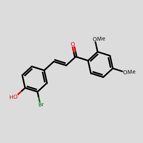 COc1ccc(C(=O)/C=C/c2ccc(O)c(Br)c2)c(OC)c1